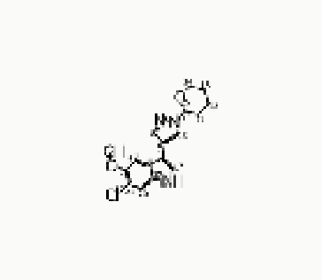 COc1cc2c(-c3cnn(C4CCCCO4)c3)c[nH]c2cc1Cl